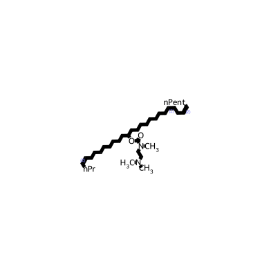 CCC/C=C\CCCCCCCCC(CCCCCCCC/C=C\C/C=C\CCCCC)OC(=O)N(C)CCN(C)C